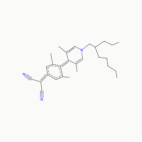 CCCCCC(CCC)CN1C=C(C)C(=c2c(C)cc(=C(C#N)C#N)cc2C)C(C)=C1